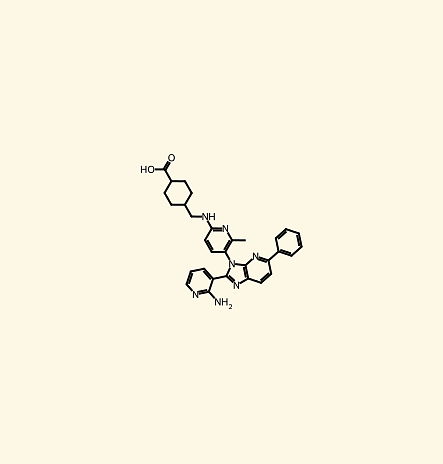 Cc1nc(NCC2CCC(C(=O)O)CC2)ccc1-n1c(-c2cccnc2N)nc2ccc(-c3ccccc3)nc21